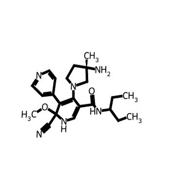 CCC(CC)NC(=O)C1=CNC(C#N)(OC)C(c2ccncc2)=C1N1CC[C@](C)(N)C1